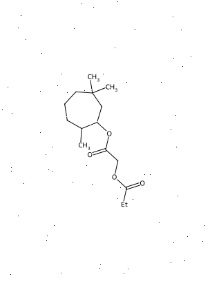 CCC(=O)OCC(=O)OC1CC(C)(C)CCCC1C